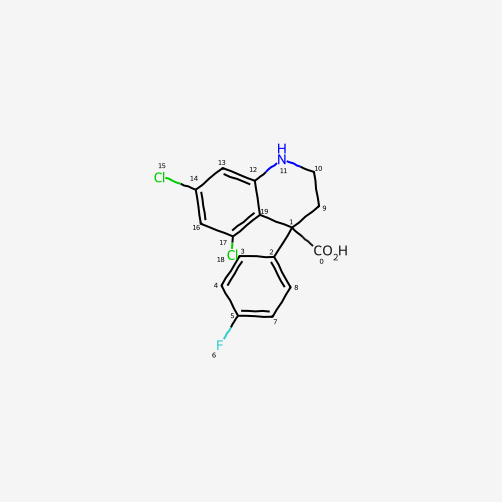 O=C(O)C1(c2ccc(F)cc2)CCNc2cc(Cl)cc(Cl)c21